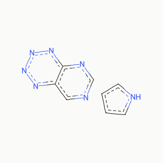 c1cc[nH]c1.c1ncc2nnnnc2n1